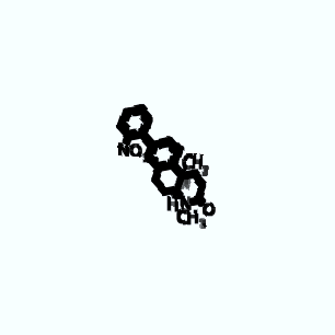 CN1C(=O)CC[C@]2(C)c3ccc(-c4ccccc4[N+](=O)[O-])cc3CC[C@@H]12